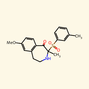 COc1ccc2c(c1)CCNC(C)(S(=O)(=O)c1cccc(C)c1)C2=O